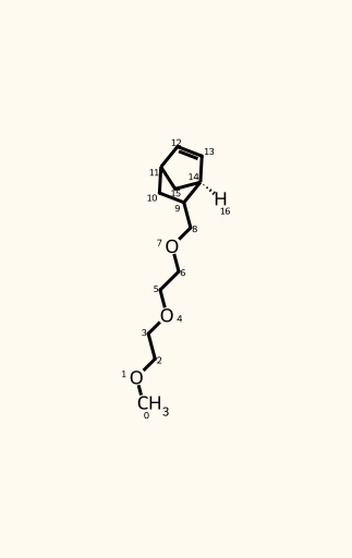 COCCOCCOCC1CC2C=C[C@@H]1C2